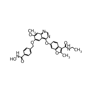 CCNC(=O)c1c(C)oc2cc(Oc3ncnc4cc(OC)c(OCc5ccc(C(=O)NO)cc5)cc34)ccc12